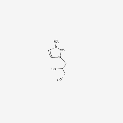 O=[N+]([O-])N1C=CN(CC(O)CO)N1